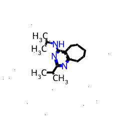 CC(C)Nc1nc(C(C)C)nc2c1CCCCC2